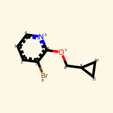 Brc1cccnc1OCC1CC1